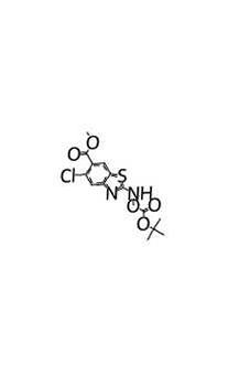 COC(=O)c1cc2sc(NOC(=O)OC(C)(C)C)nc2cc1Cl